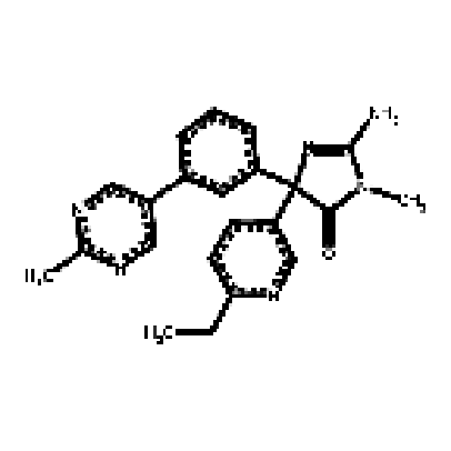 CCc1ccc(C2(c3cccc(-c4cnc(C)nc4)c3)N=C(N)N(C)C2=O)cn1